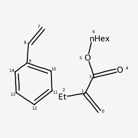 C=C(CC)C(=O)OCCCCCC.C=Cc1ccccc1